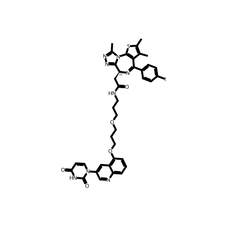 Cc1sc2c(c1C)C(c1ccc(I)cc1)=N[C@@H](CC(=O)NCCCOCCCOc1cccc3ncc(-n4ccc(=O)[nH]c4=O)cc13)c1nnc(C)n1-2